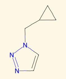 c1cn(CC2CC2)nn1